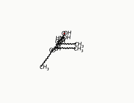 CCCCCCCCCCCCCCCC(=O)OC[C@H](CSC[C@H](NC(=O)CCCCCCCCCCCCC)C(=O)NCC(=O)N[C@H](CCC(=O)O)C(=O)O)OC(=O)CCCCCCCCCCCCCCC